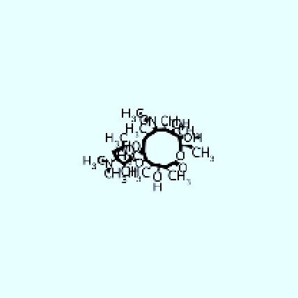 CC[C@H]1OC(=O)[C@H](C)[C@@H](O)[C@H](C)[C@@H](O[C@@H]2O[C@H](C)C[C@H](N(C)C)[C@H]2O)C(C)(O)C[C@@H](C)/C(=N\OC)[C@H](C)[C@@H](O)[C@]1(C)O